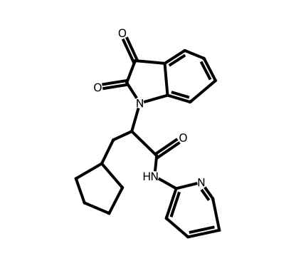 O=C1C(=O)N(C(CC2CCCC2)C(=O)Nc2ccccn2)c2ccccc21